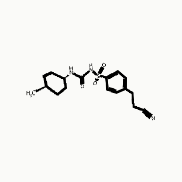 C[C@H]1CC[C@H](NC(=O)NS(=O)(=O)c2ccc(CCC#N)cc2)CC1